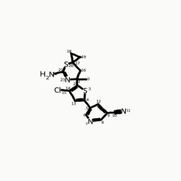 CC1(c2sc(-c3cncc(C#N)c3)cc2Cl)CC2(CC2)SC(N)=N1